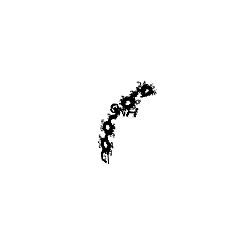 O=C(C=Cc1ccc(-c2ccc(Cl)cc2)cc1)Nc1ccc(CN2CCCC2)cc1